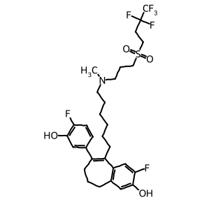 CN(CCCCCCC1=C(c2ccc(F)c(O)c2)CCCc2cc(O)c(F)cc21)CCCS(=O)(=O)CCC(F)(F)C(F)(F)F